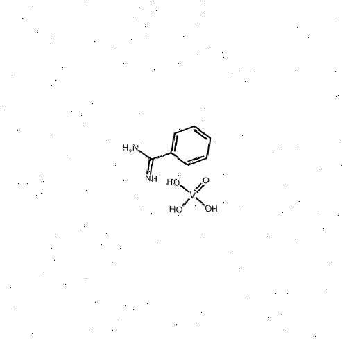 N=C(N)c1ccccc1.[O]=[V]([OH])([OH])[OH]